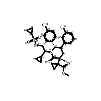 COC(=O)C1([C@@]2(C)CC(c3cccc(Cl)c3)[C@@H](c3ccc(Cl)cc3)N(C(CNS(=O)(=O)C3CC3)C3CC3)C2=O)CC1